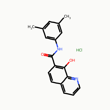 Cc1cc(C)cc(NC(=O)c2ccc3cccnc3c2O)c1.Cl